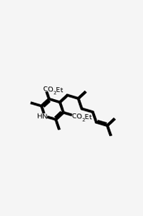 CCOC(=O)C1=C(C)NC(C)=C(C(=O)OCC)C1CC(C)CCC=C(C)C